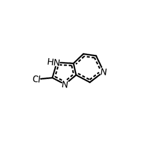 Clc1nc2cnccc2[nH]1